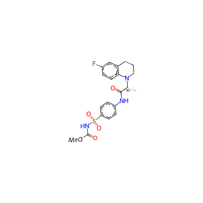 COC(=O)NS(=O)(=O)c1ccc(NC(=O)[C@@H](C)N2CCCc3cc(F)ccc32)cc1